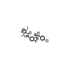 CCc1noc(CC)c1C(=O)Nc1ccc(F)c(S(=O)(=O)Nc2ccc(Cl)cc2)c1